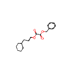 O=C(OCCCC1CCCCC1)C(=O)OCc1ccccc1